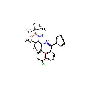 CC(C)[C@@H](N[S@+]([O-])C(C)(C)C)[C@@H](N=C(c1ccccc1)c1ccccc1)c1ccc(Br)cc1